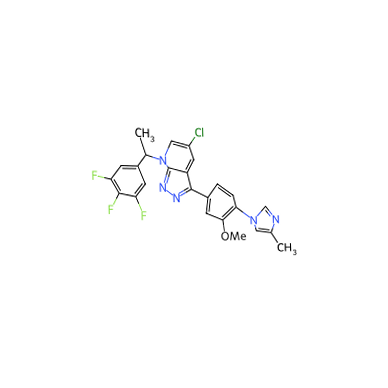 COc1cc(-c2nnc3n(C(C)c4cc(F)c(F)c(F)c4)cc(Cl)cc2-3)ccc1-n1cnc(C)c1